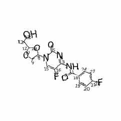 O=C(Nc1nc(=O)n(C2COC(CO)O2)cc1F)c1ccc(F)cc1